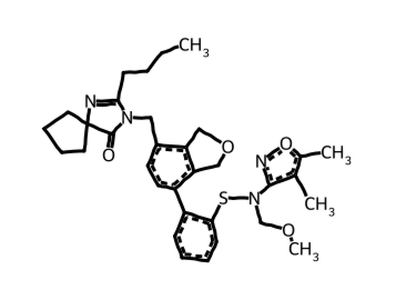 CCCCC1=NC2(CCCC2)C(=O)N1Cc1ccc(-c2ccccc2SN(COC)c2noc(C)c2C)c2c1COC2